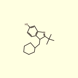 CC(C)(C)C1=Nc2cc(S)ccc2C1CC1CCCCC1